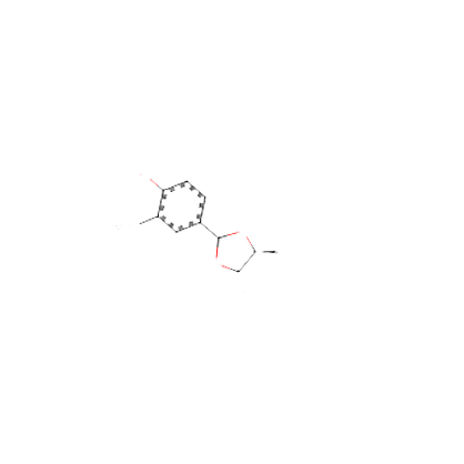 CCOC(=O)[C@@H]1OC(c2ccc(O)c(OC)c2)O[C@H]1C(=O)OCC